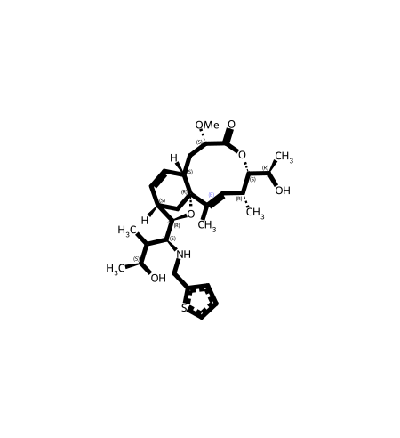 CO[C@H]1C[C@H]2C=C[C@@H]3C[C@]2(O[C@H]3[C@@H](NCc2cccs2)C(C)[C@H](C)O)/C(C)=C/[C@@H](C)[C@@H]([C@@H](C)O)OC1=O